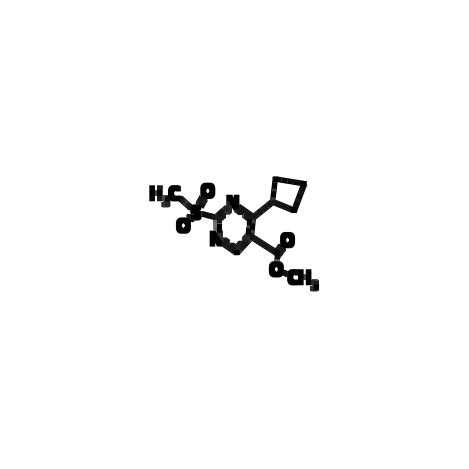 COC(=O)c1cnc(S(C)(=O)=O)nc1C1CCC1